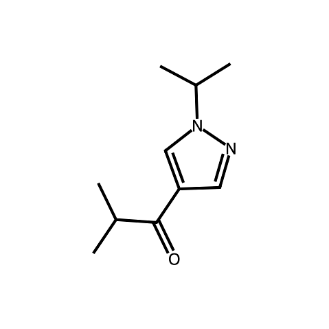 CC(C)C(=O)c1cnn(C(C)C)c1